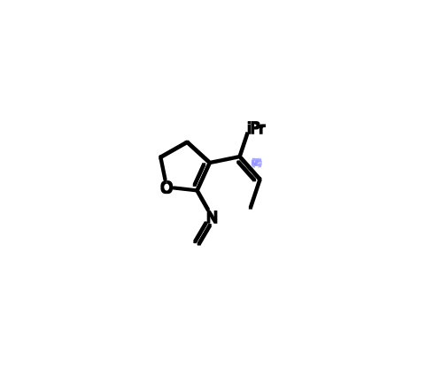 C=NC1=C(/C(=C\C)C(C)C)CCO1